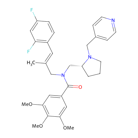 COc1cc(C(=O)N(CC(C)=Cc2ccc(F)cc2F)C[C@H]2CCCN2Cc2ccncc2)cc(OC)c1OC